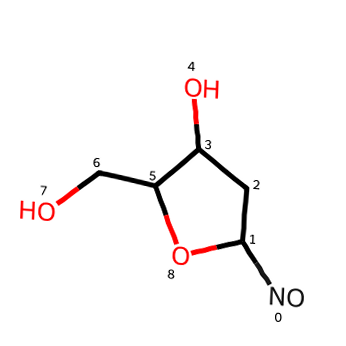 O=NC1CC(O)C(CO)O1